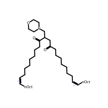 CCCCCCCC/C=C\CCCCCCCC(=O)CC(CN1CCOCC1)C(=O)CCCCCCC/C=C\CCCCCCCC